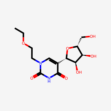 CCOCCn1cc([C@@H]2O[C@H](CO)[C@@H](O)[C@H]2O)c(=O)[nH]c1=O